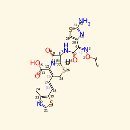 CCO/N=C(\C(=O)NC1C(=O)N2C(C(=O)O)=C(/C=C/c3scnc3C)CS[C@H]12)c1csc(N)n1